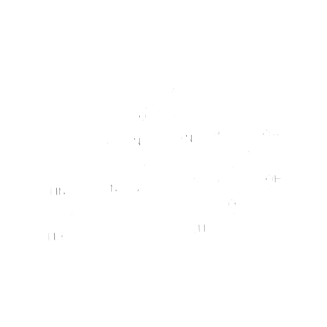 Cc1c(F)c(N2CCNC(C)C2)c([N+](=O)[O-])c2c1c(=O)c(C(=O)O)cn2C1CC1